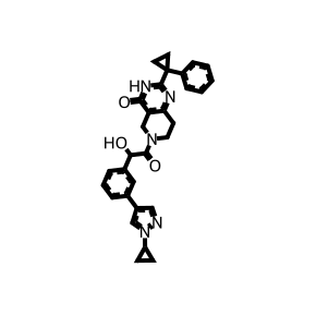 O=C(C(O)c1cccc(-c2cnn(C3CC3)c2)c1)N1CCc2nc(C3(c4ccccc4)CC3)[nH]c(=O)c2C1